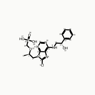 C[C@H](Cn1c(Cl)nc2c(NC[C@@H](O)c3ccccc3)ncnc21)OCP(=O)(O)O